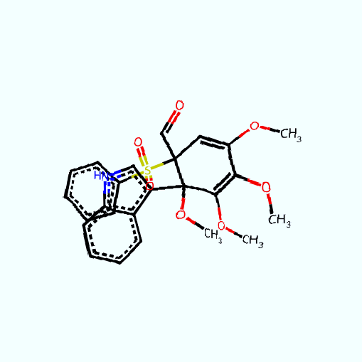 COC1=CC(C=O)(S(=O)(=O)c2ccccc2)C(OC)(c2c[nH]c3ccccc23)C(OC)=C1OC